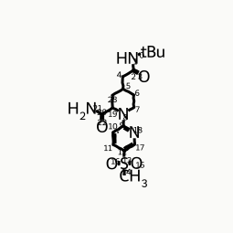 CC(C)(C)NC(=O)CC1CCN(c2[c]cc(S(C)(=O)=O)cn2)C(C(N)=O)C1